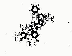 CCc1ccc(C(CC)(NC(=O)c2cnn3c2N[C@@H](c2ccccc2)CC3(C)C)C(=O)NC(C(N)=O)C(C)C)cc1